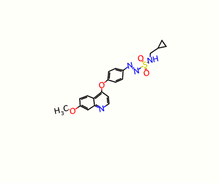 COc1ccc2c(Oc3ccc(N=NS(=O)(=O)NCC4CC4)cc3)ccnc2c1